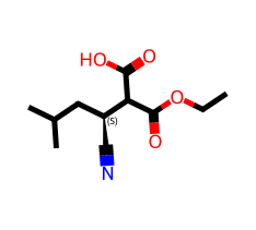 CCOC(=O)C(C(=O)O)[C@@H](C#N)CC(C)C